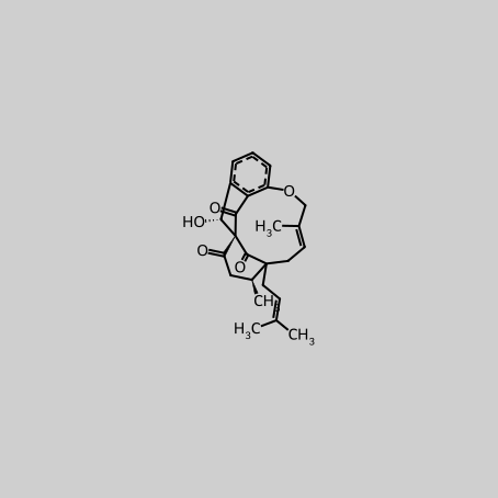 CC(C)=CCC12C/C=C(\C)COc3cccc4c3C(=O)[C@](C(=O)C[C@@H]1C)(C2=O)[C@@H]4O